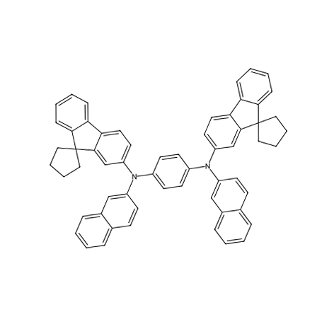 c1ccc2c(c1)-c1ccc(N(c3ccc(N(c4ccc5c(c4)C4(CCCC4)c4ccccc4-5)c4ccc5ccccc5c4)cc3)c3ccc4ccccc4c3)cc1C21CCCC1